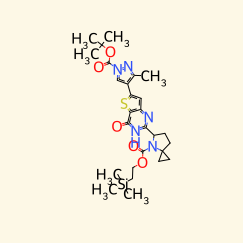 Cc1nn(C(=O)OC(C)(C)C)cc1-c1cc2nc(C3CCC4(CC4)N3C(=O)OCC[Si](C)(C)C)[nH]c(=O)c2s1